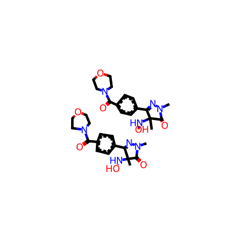 CN1N=C(c2ccc(C(=O)N3CCOCC3)cc2)C(C)(NO)C1=O.CN1N=C(c2ccc(C(=O)N3CCOCC3)cc2)C(C)(NO)C1=O